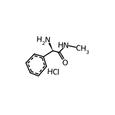 CNC(=O)[C@H](N)c1ccccc1.Cl